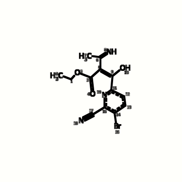 CCOC(=O)/C(C(C)=N)=C(/O)c1ccc(Br)c(C#N)n1